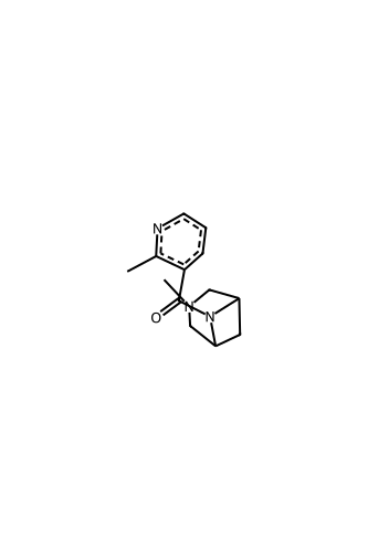 Cc1ncccc1C(=O)N1C2CC1CN(C)C2